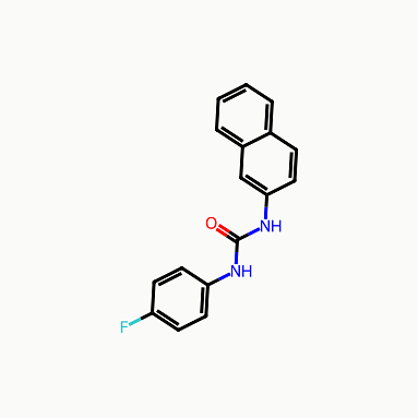 O=C(Nc1ccc(F)cc1)Nc1ccc2ccccc2c1